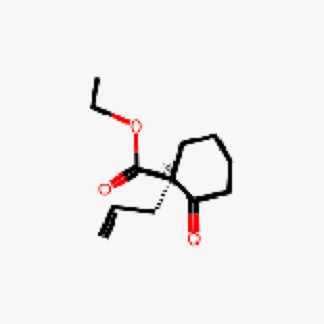 C=CC[C@]1(C(=O)OCC)CCCCC1=O